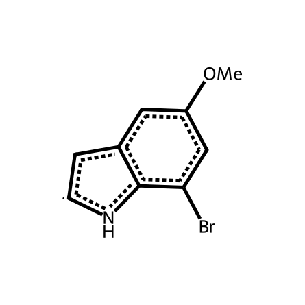 COc1cc(Br)c2[nH][c]cc2c1